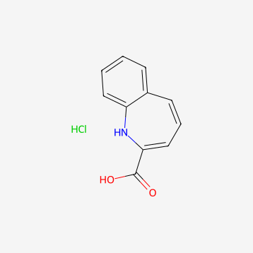 Cl.O=C(O)C1=CC=Cc2ccccc2N1